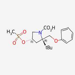 CC(C)(C)[C@@]1(COc2ccccc2)C[C@H](OS(C)(=O)=O)CN1C(=O)O